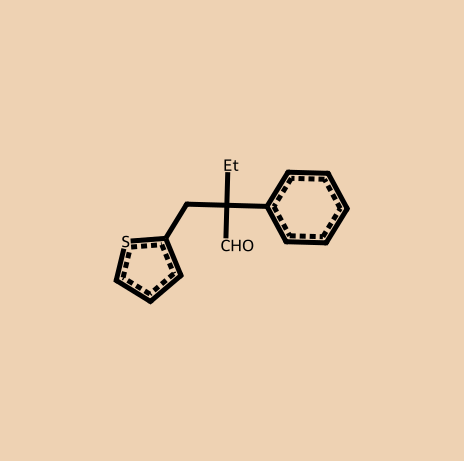 CCC(C=O)(Cc1cccs1)c1ccccc1